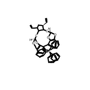 C=CC1C[C@@H](C=C)C2C[C@H]3Oc4ccc(P(c5ccccc5)c5ccccc5)c(c4O3)-c3c(P(c4ccccc4)c4ccccc4)ccc4c3O[C@H](CC12)O4